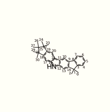 CC1(C)c2ccccc2-c2cc3c(cc21)[nH]c1cc2c(cc13)C(C)(C)C(C)(C)C2(C)C